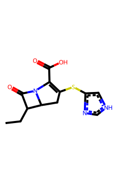 CCC1C(=O)N2C(C(=O)O)=C(Sc3c[nH]cn3)CC12